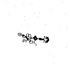 CC(C)[C@@H](C(=O)OC(C)(C)C)N(C)C(=O)[C@H]1C[C@@H](C#Cc2ncccn2)C1